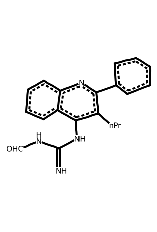 CCCc1c(-c2ccccc2)nc2ccccc2c1NC(=N)NC=O